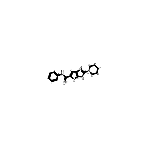 N=C(Nc1ccccc1)c1cc2nc(N3CCCCC3)sc2s1